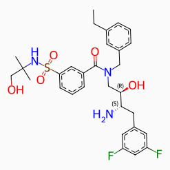 CCc1cccc(CN(C[C@@H](O)[C@@H](N)Cc2cc(F)cc(F)c2)C(=O)c2cccc(S(=O)(=O)NC(C)(C)CO)c2)c1